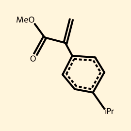 C=C(C(=O)OC)c1ccc(C(C)C)cc1